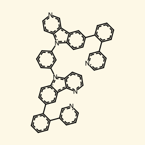 c1cncc(-c2ccccc2-c2ccc3c(c2)c2cnccc2n3-c2cccc(-n3c4ccc(-c5ccccc5-c5cccnc5)cc4c4ncccc43)c2)c1